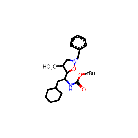 CC(C)(C)OC(=O)NC(CC1CCCCC1)C1ON(Cc2ccccc2)CC1C(=O)O